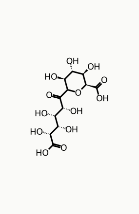 O=C(O)[C@H]1OC(C(=O)[C@H](O)[C@@H](O)[C@H](O)[C@@H](O)C(=O)O)[C@@H](O)[C@H](O)[C@H]1O